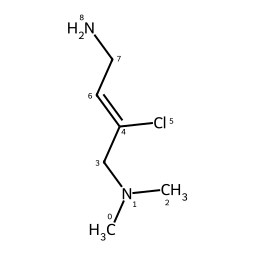 CN(C)C/C(Cl)=C/CN